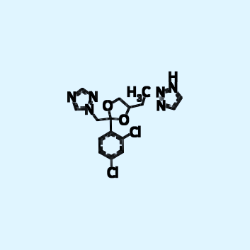 CCC1COC(Cn2cncn2)(c2ccc(Cl)cc2Cl)O1.c1c[nH]nn1